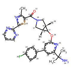 Cc1nc(-c2ncccn2)sc1C(=O)N1C[C@@H]2C(Oc3cc(-c4ccc(F)cc4)cc(C(C)(C)N)n3)[C@@H]2C1